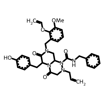 C=CCN1CC(=O)N2C(Cc3ccc(O)cc3)C(=O)N(Cc3cccc(OC)c3OC=C)CC2N1C(=O)NCc1ccccc1